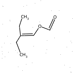 CCC(=COC=O)CC